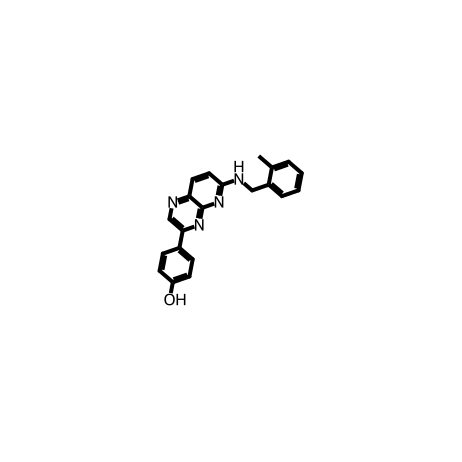 Cc1ccccc1CNc1ccc2ncc(-c3ccc(O)cc3)nc2n1